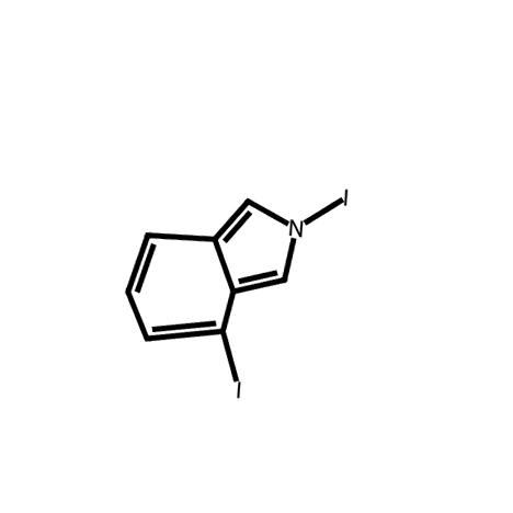 Ic1cccc2cn(I)cc12